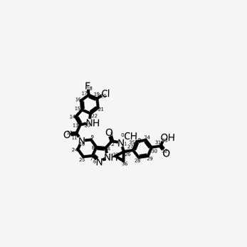 CN(C(=O)c1[nH]nc2c1CN(C(=O)c1cc3cc(F)c(Cl)cc3[nH]1)CC2)C1(c2ccc(C(=O)O)cc2)CC1